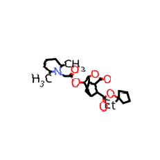 CCC1(OC(=O)C2C3CC4C(OC(=O)C42)C3OC(=O)CN2C(C)CCCC2C)CCCC1